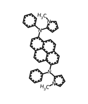 Cn1cccc1N(c1ccccc1)c1ccc2ccc3c(N(c4ccccc4)c4cccn4C)ccc4ccc1c2c43